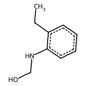 CCc1ccccc1NCO